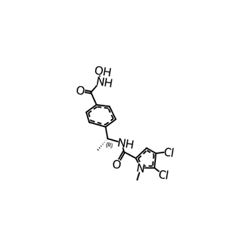 C[C@@H](NC(=O)c1cc(Cl)c(Cl)n1C)c1ccc(C(=O)NO)cc1